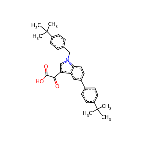 CC(C)(C)c1ccc(Cn2cc(C(=O)C(=O)O)c3cc(-c4ccc(C(C)(C)C)cc4)ccc32)cc1